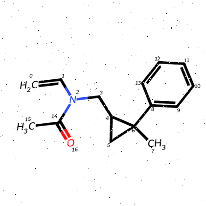 C=CN(CC1CC1(C)c1ccccc1)C(C)=O